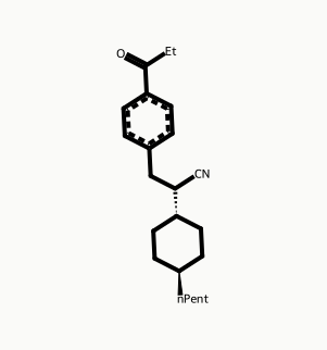 CCCCC[C@H]1CC[C@H](C(C#N)Cc2ccc(C(=O)CC)cc2)CC1